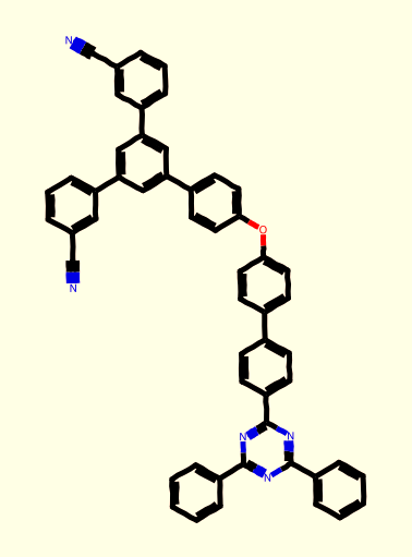 N#Cc1cccc(-c2cc(-c3ccc(Oc4ccc(-c5ccc(-c6nc(-c7ccccc7)nc(-c7ccccc7)n6)cc5)cc4)cc3)cc(-c3cccc(C#N)c3)c2)c1